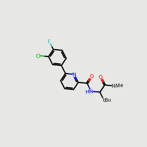 CNC(=O)C(NC(=O)c1cccc(-c2ccc(F)c(Cl)c2)n1)C(C)(C)C